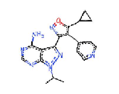 CC(C)n1nc(-c2noc(C3CC3)c2-c2ccncc2)c2c(N)ncnc21